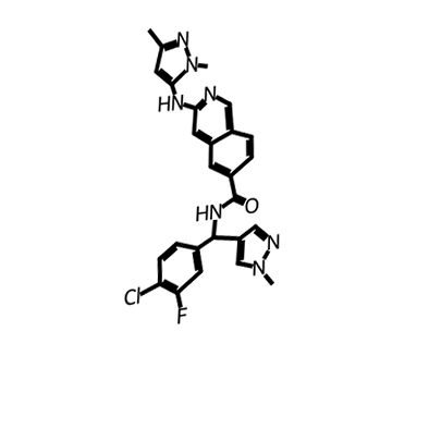 Cc1cc(Nc2cc3cc(C(=O)NC(c4ccc(Cl)c(F)c4)c4cnn(C)c4)ccc3cn2)n(C)n1